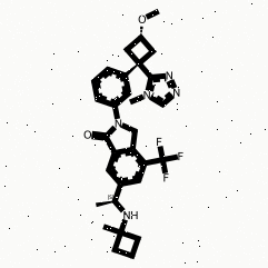 CO[C@H]1C[C@@](c2cccc(N3Cc4c(cc([C@H](C)NC5(C)CCC5)cc4C(F)(F)F)C3=O)c2)(c2nncn2C)C1